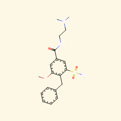 CCCCOc1cc(C(=O)NCCN(CC)CC)cc(S(N)(=O)=O)c1Cc1ccccc1